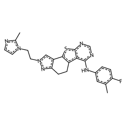 Cc1cc(Nc2ncnc3sc4c(c23)CCc2nn(CCn3ccnc3C)cc2-4)ccc1F